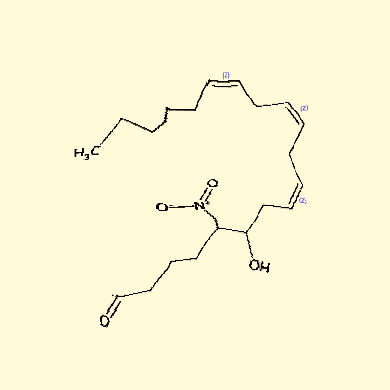 CCCCC/C=C\C/C=C\C/C=C\CC(O)C(CCC[C]=O)[N+](=O)[O-]